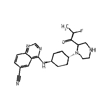 CC(F)C(=O)C1CNCCN1[C@H]1CC[C@H](Nc2ncnc3ccc(C#N)cc23)CC1